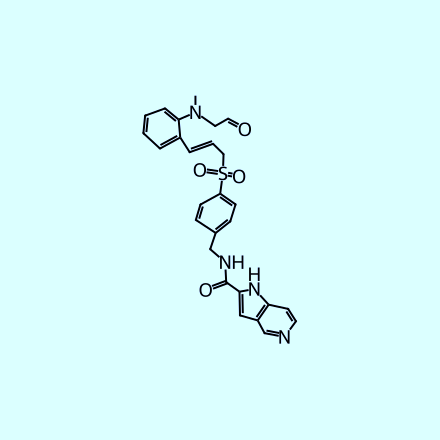 CN(CC=O)c1ccccc1C=CCS(=O)(=O)c1ccc(CNC(=O)c2cc3cnccc3[nH]2)cc1